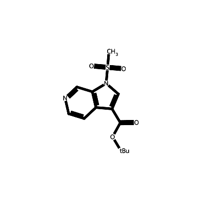 CC(C)(C)OC(=O)c1cn(S(C)(=O)=O)c2cnccc12